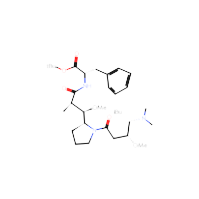 CC[C@H](C)[C@@H]([C@@H](CC(=O)N1CCC[C@H]1[C@H](OC)[C@@H](C)C(=O)N[C@@H](Cc1ccccc1)C(=O)OC(C)(C)C)OC)N(C)C